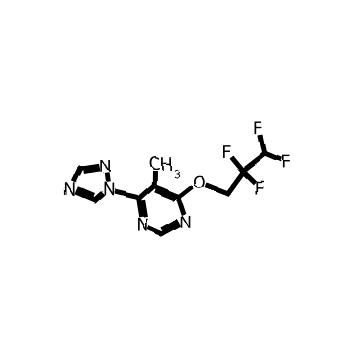 Cc1c(OCC(F)(F)C(F)F)ncnc1-n1cncn1